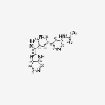 CC(C)C(=O)Nc1cncc(-c2cnc3[nH]nc(-c4nc5ccncc5[nH]4)c3c2)c1